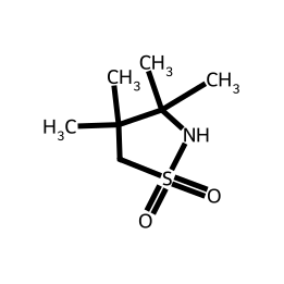 CC1(C)CS(=O)(=O)NC1(C)C